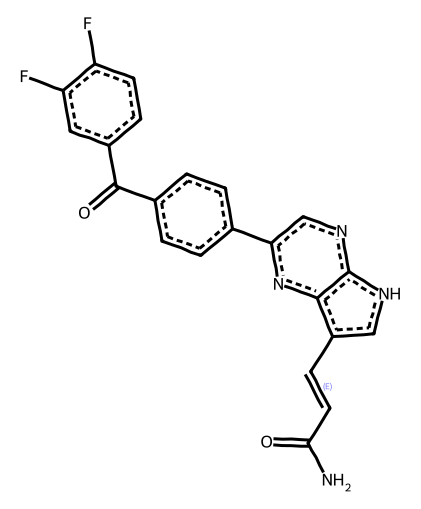 NC(=O)/C=C/c1c[nH]c2ncc(-c3ccc(C(=O)c4ccc(F)c(F)c4)cc3)nc12